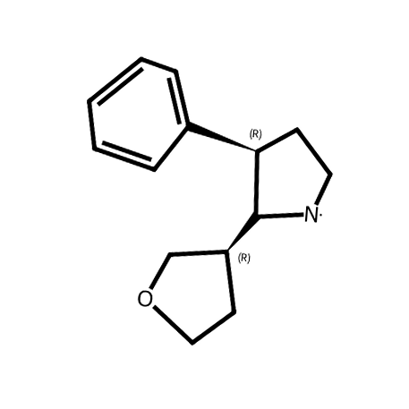 c1ccc([C@H]2CC[N]C2[C@H]2CCOC2)cc1